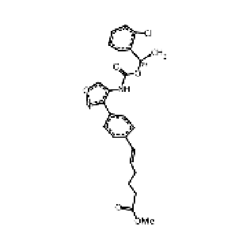 COC(=O)CCCC=Cc1ccc(-c2nocc2NC(=O)O[C@H](C)c2ccccc2Cl)cc1